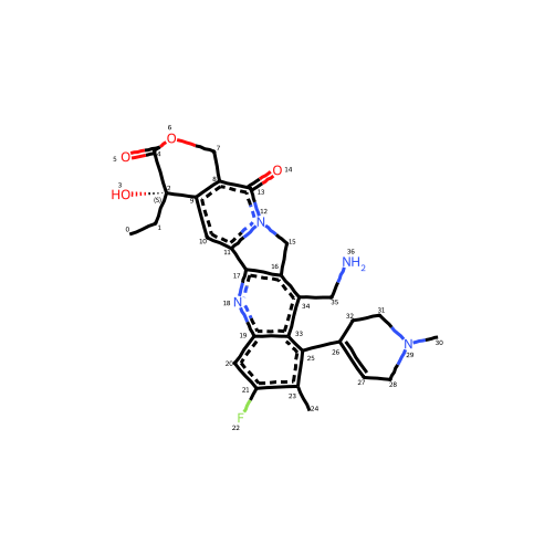 CC[C@@]1(O)C(=O)OCc2c1cc1n(c2=O)Cc2c-1nc1cc(F)c(C)c(C3=CCN(C)CC3)c1c2CN